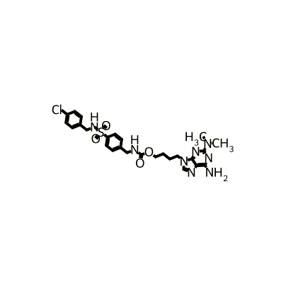 CN(C)c1nc(N)c2ncn(CCCCOC(=O)NCc3ccc(S(=O)(=O)NCc4ccc(Cl)cc4)cc3)c2n1